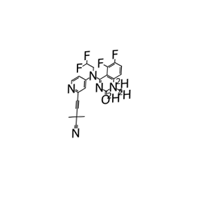 [2H]C([2H])([2H])n1c(=O)nc(N(CC(F)F)c2ccnc(C#CC(C)(C)C#N)c2)c2c(F)c(F)ccc21